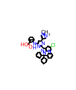 Cn1cc(-c2cc(NC3C4CCC(CC4)C3C(=O)O)nc(-c3nn(C(c4ccccc4)(c4ccccc4)c4ccccc4)c4ncc(Cl)cc34)n2)cn1